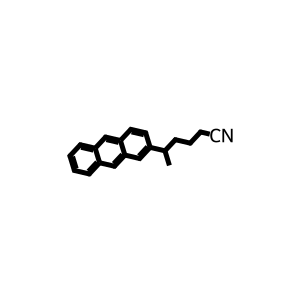 CC(CCCC#N)c1ccc2cc3ccccc3cc2c1